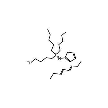 CCC=CC=CCC.CCCCCP(CCCCC)(CCCCC)=NC1=CC=CC1.[Ti]